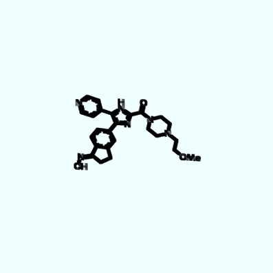 COCCN1CCN(C(=O)c2nc(-c3ccc4c(c3)CCC4=NO)c(-c3ccncc3)[nH]2)CC1